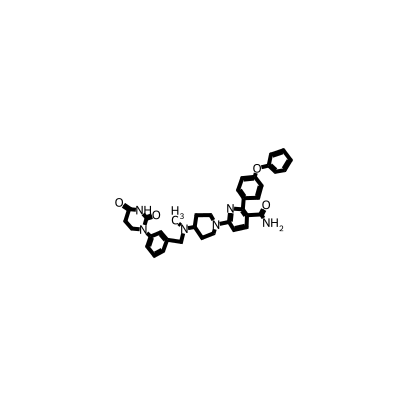 CN(Cc1cccc(N2CCC(=O)NC2=O)c1)C1CCN(c2ccc(C(N)=O)c(-c3ccc(Oc4ccccc4)cc3)n2)CC1